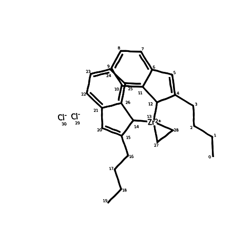 CCCCC1=Cc2ccccc2[CH]1[Zr+2]1([CH]2C(CCCC)=Cc3ccccc32)[CH2][CH2]1.[Cl-].[Cl-]